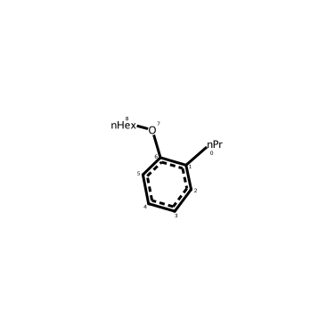 [CH2]CCc1ccccc1OCCCCCC